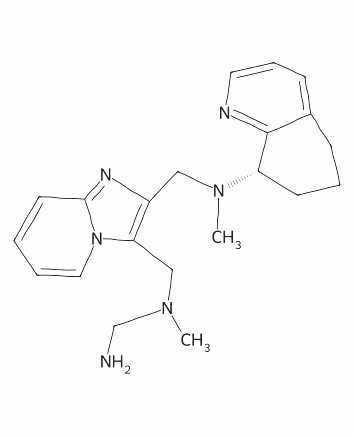 CN(CN)Cc1c(CN(C)[C@H]2CCCc3cccnc32)nc2ccccn12